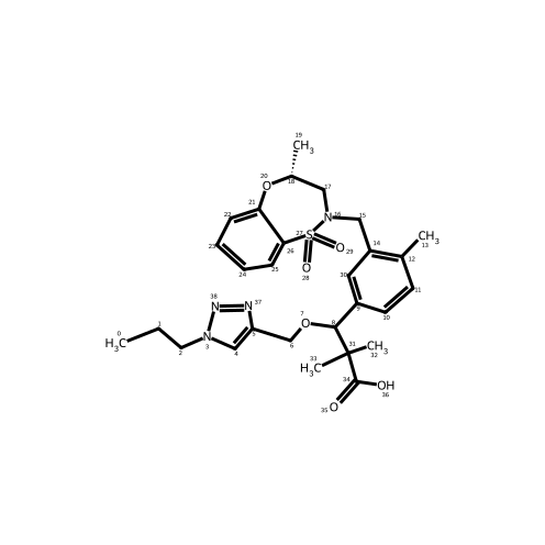 CCCn1cc(COC(c2ccc(C)c(CN3C[C@@H](C)Oc4ccccc4S3(=O)=O)c2)C(C)(C)C(=O)O)nn1